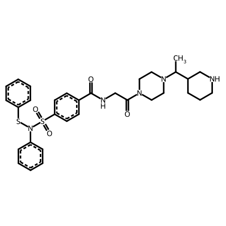 CC(C1CCCNC1)N1CCN(C(=O)CNC(=O)c2ccc(S(=O)(=O)N(Sc3ccccc3)c3ccccc3)cc2)CC1